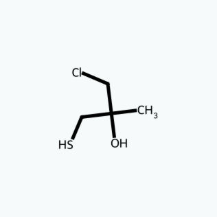 CC(O)(CS)CCl